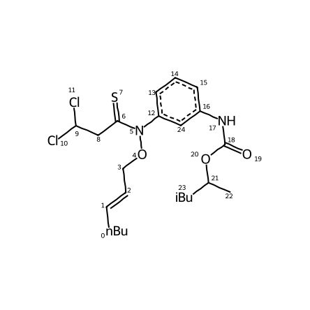 CCCCC=CCON(C(=S)CC(Cl)Cl)c1cccc(NC(=O)OC(C)C(C)CC)c1